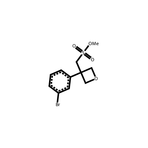 COS(=O)(=O)CC1(c2cccc(Br)c2)COC1